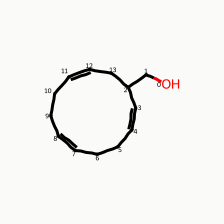 OCC1C=CCCC=CCCC=CC1